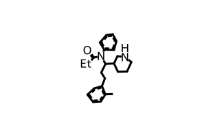 CCC(=O)N(c1ccccc1)C(CCc1ccccc1C)C1CCCNC1